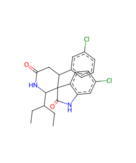 CCC(CC)C1NC(=O)CC(c2cccc(Cl)c2)C12C(=O)Nc1cc(Cl)ccc12